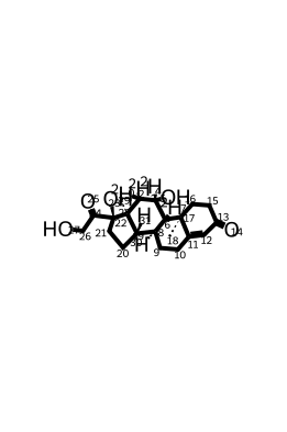 [2H]C1([2H])[C@]([2H])(O)[C@@]2([2H])[C@@H](CCC3=CC(=O)CC[C@@]32C)[C@@H]2CC[C@](O)(C(=O)CO)[C@]21C